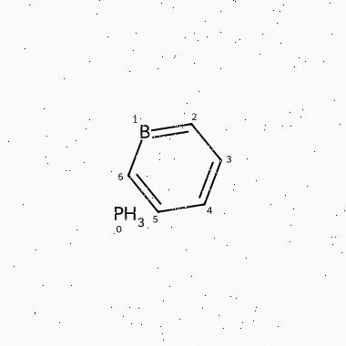 P.b1ccccc1